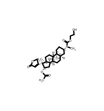 CC(=O)O[C@H]1C[C@]2(O)[C@@H]3CC[C@@H]4C[C@@H](N(C)C(=O)OCCO)CC[C@]4(C)[C@H]3CC[C@]2(C)[C@H]1C1=CC(=O)OC1